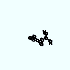 c1cncc(-c2cc(-c3cccnc3)cc(-c3ccc4c(c3)COCc3ccc(-c5cccc6c5oc5ccccc56)cc3-4)c2)c1